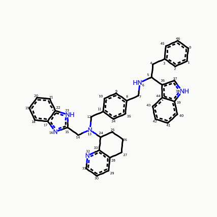 c1ccc(CC(NCc2ccc(CN(Cc3nc4ccccc4[nH]3)C3CCCc4cccnc43)cc2)c2c[nH]c3ccccc23)cc1